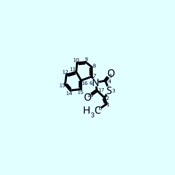 CC=C1SC(=O)N(c2cccc3ccccc23)C1=O